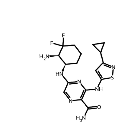 NC(=O)c1ncc(N[C@@H]2CCCC(F)(F)[C@@H]2N)nc1Nc1cc(C2CC2)ns1